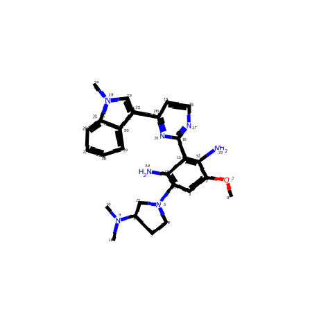 COc1cc(N2CCC(N(C)C)C2)c(N)c(-c2nccc(-c3cn(C)c4ccccc34)n2)c1N